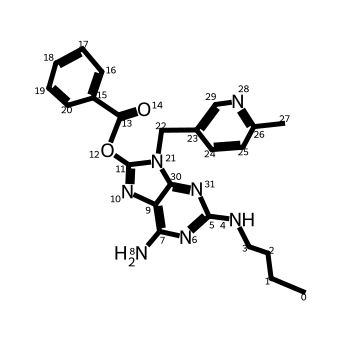 CCCCNc1nc(N)c2nc(OC(=O)c3ccccc3)n(Cc3ccc(C)nc3)c2n1